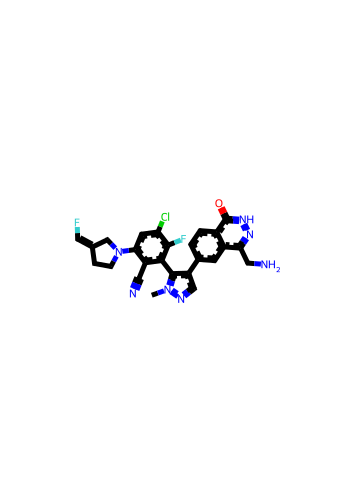 Cn1ncc(-c2ccc3c(=O)[nH]nc(CN)c3c2)c1-c1c(F)c(Cl)cc(N2CCC(=CF)C2)c1C#N